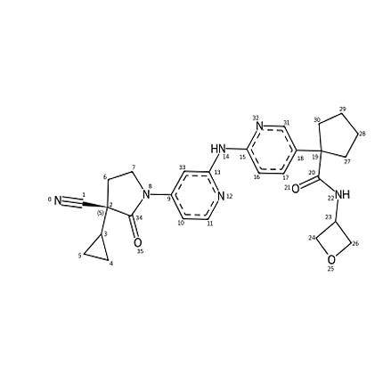 N#C[C@@]1(C2CC2)CCN(c2ccnc(Nc3ccc(C4(C(=O)NC5COC5)CCCC4)cn3)c2)C1=O